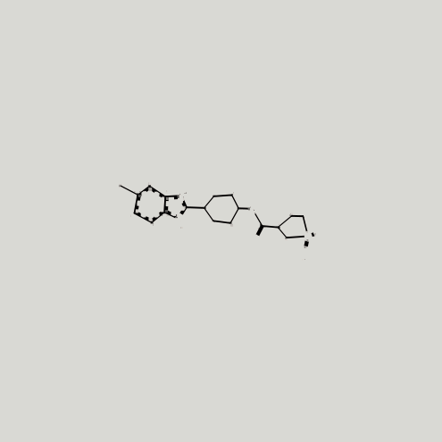 O=C(NC1CCC(c2nc3cc(Cl)ccc3s2)CC1)C1CCS(=O)(=O)C1